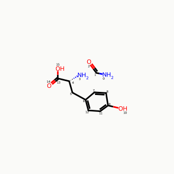 NC=O.N[C@H](Cc1ccc(O)cc1)C(=O)O